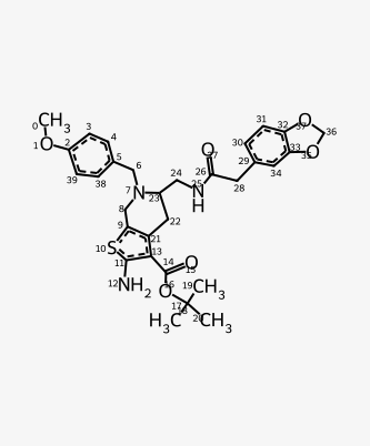 COc1ccc(CN2Cc3sc(N)c(C(=O)OC(C)(C)C)c3CC2CNC(=O)Cc2ccc3c(c2)OCO3)cc1